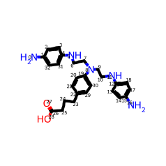 Nc1ccc(NCCN(CCNc2ccc(N)cc2)c2ccc(CCCC(=O)O)cc2)cc1